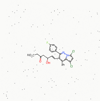 CC(C)c1c(/C=C/C(O)CC(=O)CC(=O)O)c(-c2ccc(F)cc2)nn2c(Cl)cc(Cl)c12